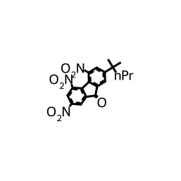 CCCC(C)(C)c1cc2c(c([N+](=O)[O-])c1)-c1c(cc([N+](=O)[O-])cc1[N+](=O)[O-])C2=O